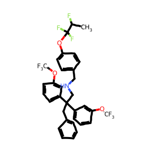 CC(F)C(F)(F)Oc1ccc(CNCC(Cc2ccccc2)(c2cccc(OC(F)(F)F)c2)c2cccc(OC(F)(F)F)c2)cc1